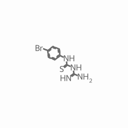 N=C(N)NC(=S)Nc1ccc(Br)cc1